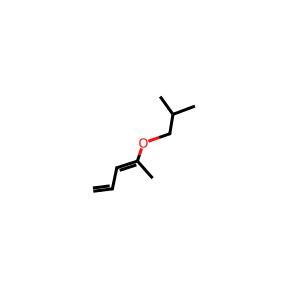 C=C/C=C(\C)OCC(C)C